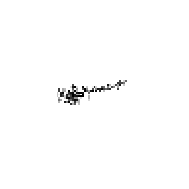 CC(C)(C)[Si](C)(C)Oc1cc(C(=O)NCCOCCOCCOCCN=[N+]=[N-])ccc1O[C@@H]1O[C@H](CO)[C@H](O)[C@H](O)[C@H]1O